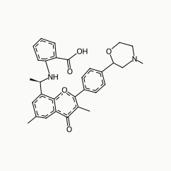 Cc1cc([C@@H](C)Nc2ccccc2C(=O)O)c2oc(-c3ccc(C4CN(C)CCO4)cc3)c(C)c(=O)c2c1